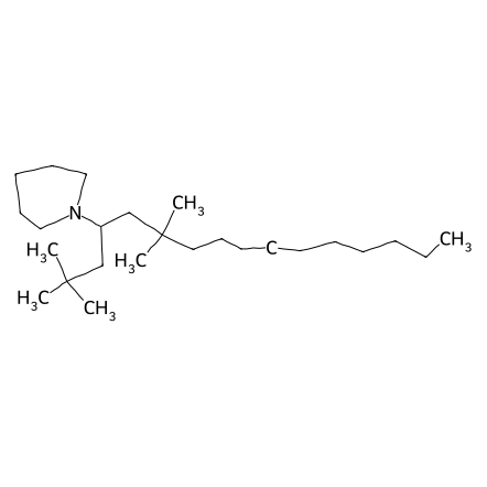 CCCCCCCCCCC(C)(C)CC(CC(C)(C)C)N1CCCCC1